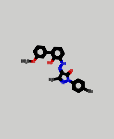 CC1=NN(c2ccc(C(C)(C)C)cc2)C(=O)C1=NNc1cccc(-c2cccc(OC(=O)O)c2)c1O